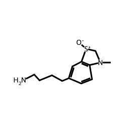 CN1C[S+]([O-])c2cc(CCCCN)ccc21